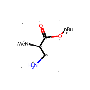 CCCCOC(=O)[C@@H](CN)NC